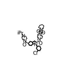 CC(C)N1CCN(C(=O)c2ccc3c(c2)cc(C(=O)N2CCN(S(=O)(=O)N4CCCCC4)CC2)n3-c2cccc(Cl)c2)CC1